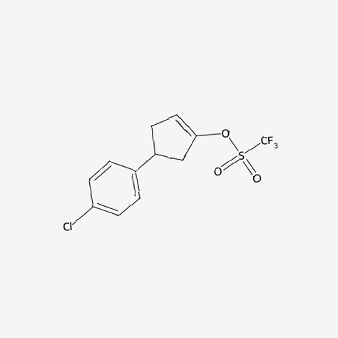 O=S(=O)(OC1=CCC(c2ccc(Cl)cc2)C1)C(F)(F)F